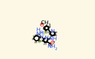 COc1ccc(-c2cc(Nc3nc(N[C@@H]4CCCC[C@@H]4N)c(F)cc3C(N)=O)ccn2)c(F)c1